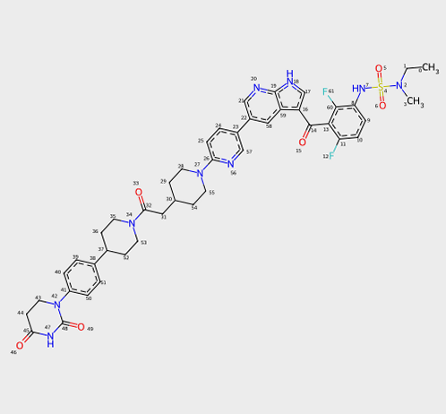 CCN(C)S(=O)(=O)Nc1ccc(F)c(C(=O)c2c[nH]c3ncc(-c4ccc(N5CCC(CC(=O)N6CCC(c7ccc(N8CCC(=O)NC8=O)cc7)CC6)CC5)nc4)cc23)c1F